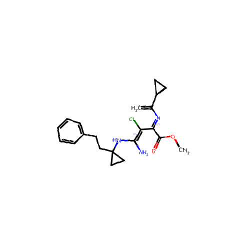 C=C(/N=C(C(=O)OC)\C(Cl)=C(/N)NC1(CCc2ccccc2)CC1)C1CC1